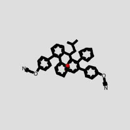 CC(C)CC(c1cccc(-c2ccc(OC#N)cc2)c1-c1ccccc1)c1cccc(-c2ccc(OC#N)cc2)c1-c1ccccc1